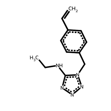 C=Cc1ccc(Cn2nnnc2NCC)cc1